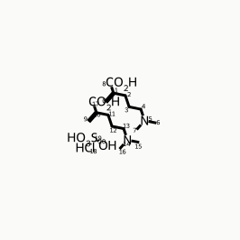 C=C(CCCN(C)C)C(=O)O.C=C(CCCN(C)C)C(=O)O.Cl.O=S(=O)(O)O